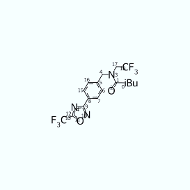 CCC(C)C(=O)N(Cc1ccc(-c2noc(C(F)(F)F)n2)cc1)CC(F)(F)F